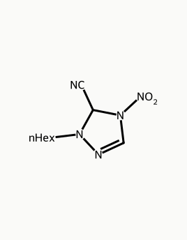 CCCCCCN1N=CN([N+](=O)[O-])C1C#N